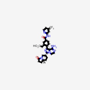 Nc1nccn2c([C@@H]3CC[C@H]4CCC(=O)N4C3)nc(-c3ccc(C(=O)Nc4cc(C(F)(F)F)ccn4)cc3CC(=O)O)c12